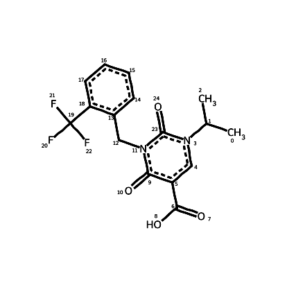 CC(C)n1cc(C(=O)O)c(=O)n(Cc2ccccc2C(F)(F)F)c1=O